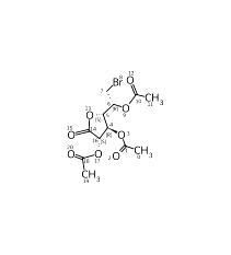 CC(=O)O[C@@H]1[C@@H]([C@H](CBr)OC(C)=O)OC(=O)[C@H]1OC(C)=O